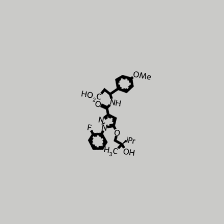 COc1ccc(C(CC(=O)O)NC(=O)c2cc(OC[C@@](C)(O)C(C)C)n(-c3ccccc3F)n2)cc1